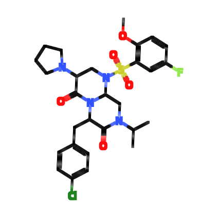 COc1ccc(F)cc1S(=O)(=O)N1CC(N2CCCC2)C(=O)N2C(Cc3ccc(Cl)cc3)C(=O)N(C(C)C)CC21